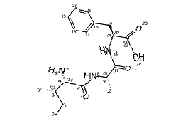 CC[C@H](C)[C@H](N)C(=O)N[C@@H](C)C(=O)N[C@@H](Cc1ccccc1)C(=O)O